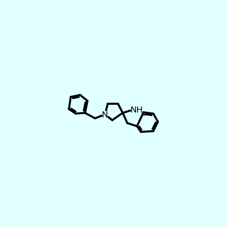 NC1(Cc2ccccc2)CCN(Cc2ccccc2)C1